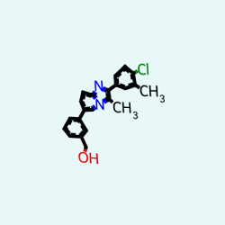 Cc1cc(-c2nc3ccc(-c4cccc(CO)c4)cn3c2C)ccc1Cl